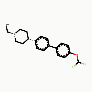 CC(C)C[Si@H]1CC[C@H](c2ccc(-c3ccc(OC(F)F)cc3)cc2)CC1